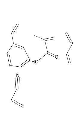 C=C(C)C(=O)O.C=CC#N.C=CC=C.C=Cc1ccccc1